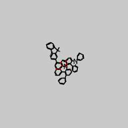 CC1(C)c2ccccc2-c2ccc(-c3cccc(N(c4cccc(-c5ccccc5)c4-c4ccccc4-c4ccccc4)c4cccc5c4c4ccccc4n5-c4ccccc4)c3)cc21